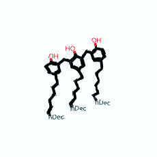 CCCCCCCCCCCCCCCCc1ccc(O)c(Cc2cc(CCCCCCCCCCCCCCCC)cc(Cc3cc(CCCCCCCCCCCCCCCC)ccc3O)c2O)c1